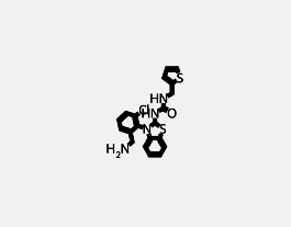 NCc1cccc(Cl)c1N1c2ccccc2SC1NC(=O)NCc1cccs1